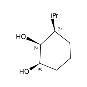 CC(C)[C@H]1CCC[C@@H](O)[C@H]1O